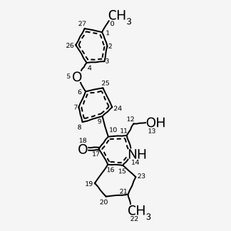 Cc1ccc(Oc2ccc(-c3c(CO)[nH]c4c(c3=O)CCC(C)C4)cc2)cc1